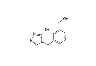 OCc1cccc(Cn2cnnc2S)c1